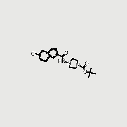 CC(C)(C)OC(=O)N1CCN(NC(=O)c2ccc3cc(Cl)ccc3c2)CC1